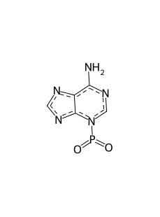 Nc1ncn(P(=O)=O)c2ncnc1-2